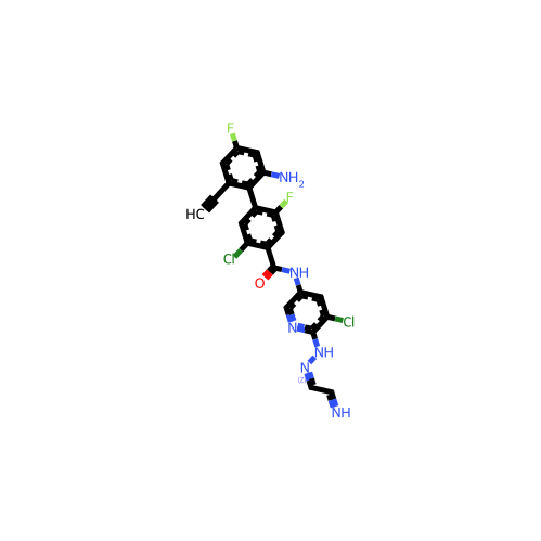 C#Cc1cc(F)cc(N)c1-c1cc(Cl)c(C(=O)Nc2cnc(N/N=C\C=N)c(Cl)c2)cc1F